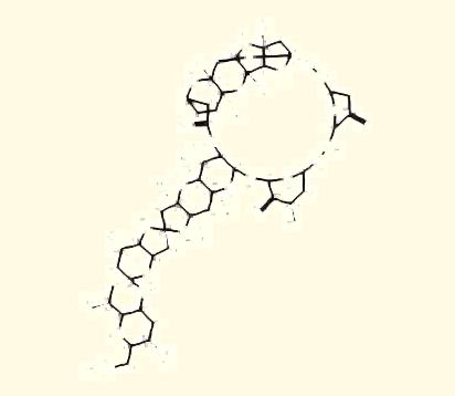 C=C1CC2CC[C@@]34C[C@H]5OC6C(O3)[C@H]3OC(CC[C@@H]3O[C@H]6C5O4)CC(=O)OC3C(CC4OC(CCC1O2)C[C@@H](C)C4=C)O[C@H]1C[C@H]2O[C@@]4(CC5O[C@]6(C[C@H](C)C7OC(CC(=O)O)[C@H](O)CC7O6)C[C@H](C)C5O4)C[C@H]2O[C@H]1[C@@H]3C